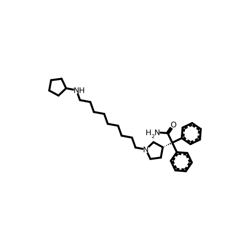 NC(=O)C(c1ccccc1)(c1ccccc1)[C@@H]1CCN(CCCCCCCCCNC2CCCC2)C1